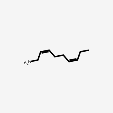 CC/C=C\CC/C=C\CN